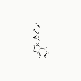 CCCNCn1nnc2ccccc21